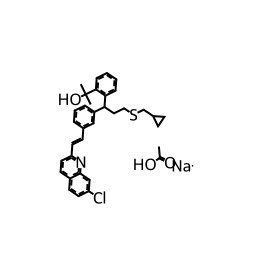 CC(=O)O.CC(C)(O)c1ccccc1C(CCSCC1CC1)c1cccc(C=Cc2ccc3ccc(Cl)cc3n2)c1.[Na]